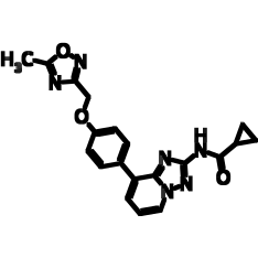 Cc1nc(COc2ccc(-c3cccn4nc(NC(=O)C5CC5)nc34)cc2)no1